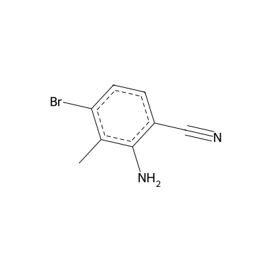 Cc1c(Br)ccc(C#N)c1N